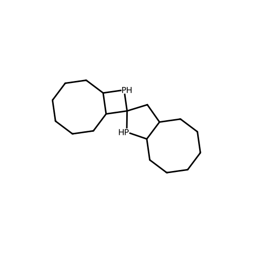 C1CCCC2PC3(CC2CC1)PC1CCCCCCC13